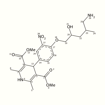 COC(=O)C1=C(C)NC(C)=C(C(=O)OC)C1c1ccc(OCC(O)CC(C)CN)c([N+](=O)[O-])c1